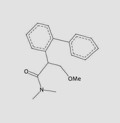 COCC(C(=O)N(C)C)c1ccccc1-c1ccccc1